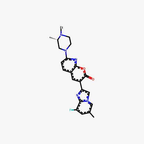 CCN1CCN(c2ccc3cc(-c4cn5cc(C)cc(F)c5n4)c(=O)oc3n2)C[C@@H]1C